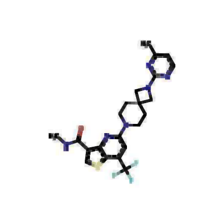 CNC(=O)c1csc2c(C(F)(F)F)cc(N3CCC4(CC3)CN(c3nccc(C)n3)C4)nc12